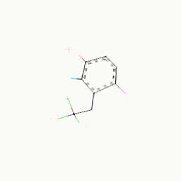 Oc1ccc(I)c(CC(Cl)(Cl)Cl)c1F